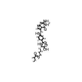 CCC(C)C(=O)N(C)CCCC[C@H](NC(=O)c1ccc(NCC2=CN=C3N=C(N)NC(=O)C23)cc1)C(=O)O